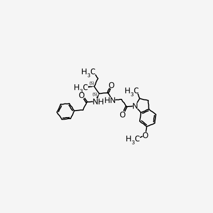 CC[C@H](C)[C@H](NC(=O)Cc1ccccc1)C(=O)NCC(=O)N1c2cc(OC)ccc2CC1C